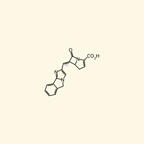 O=C(O)C1=CCC2/C(=C\c3cn4c(n3)-c3ccccc3C4)C(=O)N12